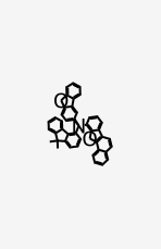 CC1(C)c2ccccc2-c2c(N(c3ccc4oc5ccccc5c4c3)c3cccc4c3oc3c5ccccc5ccc43)cccc21